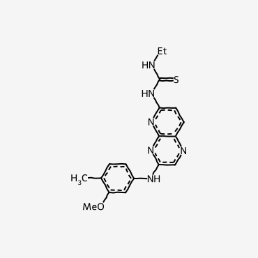 CCNC(=S)Nc1ccc2ncc(Nc3ccc(C)c(OC)c3)nc2n1